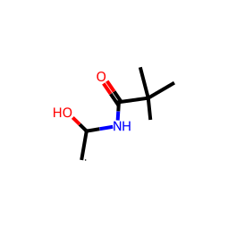 [CH2]C(O)NC(=O)C(C)(C)C